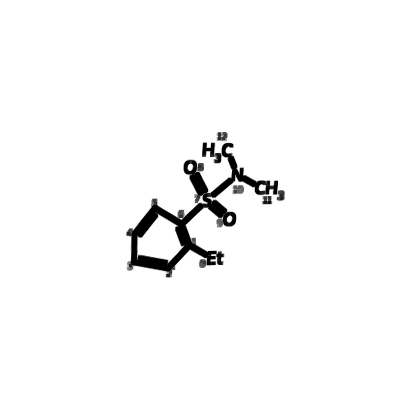 CCc1[c]cccc1S(=O)(=O)N(C)C